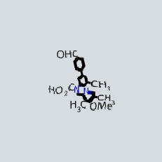 COc1c(C)cnc(CN(C(=O)O)c2cc(C)cc(-c3ccc(C=O)cc3)c2)c1C